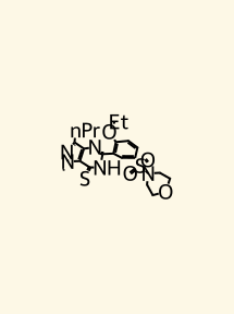 CCCc1nn(C)c2c(=S)[nH]c(-c3cc(S(=O)(=O)N4CCOCC4)ccc3OCC)nc12